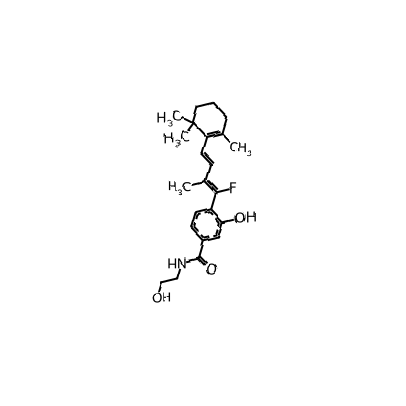 CC1=C(/C=C/C(C)=C(\F)c2ccc(C(=O)NCCO)cc2O)C(C)(C)CCC1